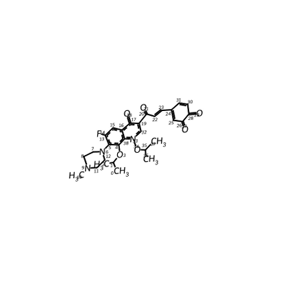 CC(C)Oc1c(N2CCN(C)CC2)c(F)cc2c(=O)c(C(=O)/C=C/C3=CC(=O)C(=O)C=C3)cn(OC(C)C)c12